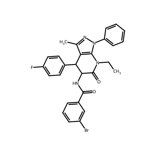 CCN1C(=O)C(NC(=O)c2cccc(Br)c2)C(c2ccc(F)cc2)c2c(C)nn(-c3ccccc3)c21